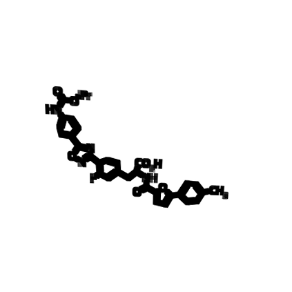 Cc1ccc(-c2ccc(C(=O)NC(Cc3ccc(-c4noc(-c5ccc(NC(=O)OC(C)C)cc5)n4)c(F)c3)C(=O)O)o2)cc1